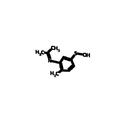 CC(C)=Nc1cc(SO)ccc1C